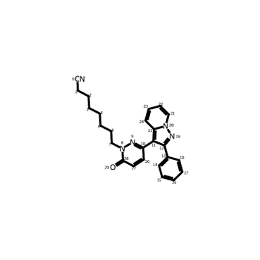 N#CCCCCCCCn1nc(-c2c(-c3ccccc3)nn3ccccc23)ccc1=O